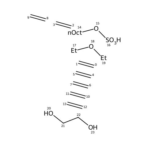 C=C.C=C.C=C.C=C.C=C.C=C.C=C.CCCCCCCCOS(=O)(=O)O.CCOCC.OCCO